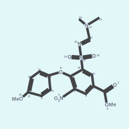 COC(=O)c1cc([N+](=O)[O-])c(Oc2ccc(OC)cc2)c(S(=O)(=O)N=CN(C)C)c1